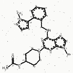 CC(C)n1cnc2c(NCc3ccccc3-c3ccnn3C)nc(N3CCC(OC(N)=O)CC3)nc21